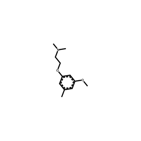 COc1cc(C)cc(OCCN(C)C)c1